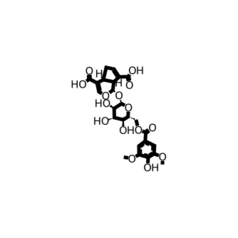 COc1cc(C(=O)OC[C@H]2O[C@@H](O[C@@H]3OC=C(C(=O)O)[C@H]4CC=C(C(=O)O)[C@@H]34)[C@H](O)[C@@H](O)[C@@H]2O)cc(OC)c1O